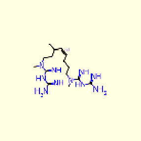 CC(/C=C\CCCN(C)C(=N)NC(=N)N)CCN(C)C(=N)NC(=N)N